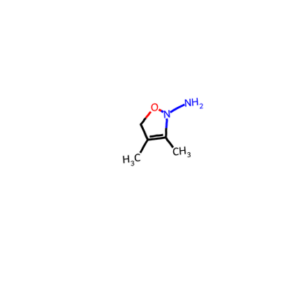 CC1=C(C)N(N)OC1